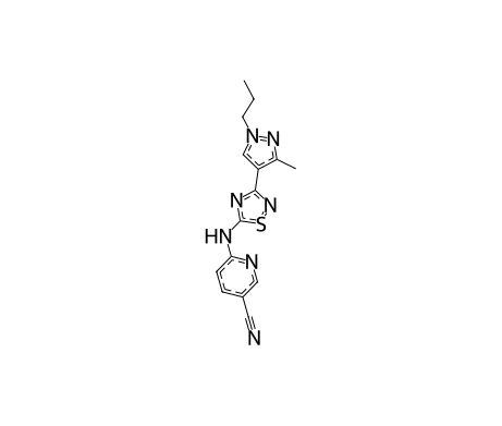 CCCn1cc(-c2nsc(Nc3ccc(C#N)cn3)n2)c(C)n1